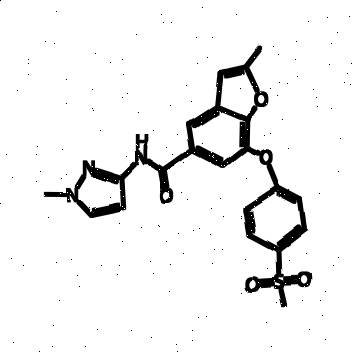 Cc1cc2cc(C(=O)Nc3ccn(C)n3)cc(Oc3ccc(S(C)(=O)=O)cc3)c2o1